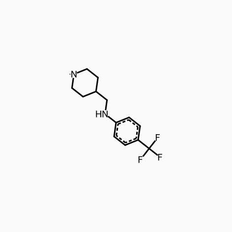 FC(F)(F)c1ccc(NCC2CC[N]CC2)cc1